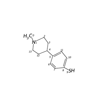 CN1CCC(c2ccc(S)cc2)CC1